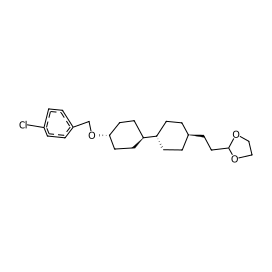 Clc1ccc(CO[C@H]2CC[C@H]([C@H]3CC[C@H](CCC4OCCO4)CC3)CC2)cc1